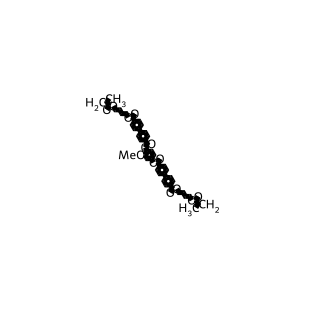 C=C(C)C(=O)OCCCCOC(=O)C1CCC(C2CCC(C(=O)Oc3ccc(OC(=O)C4CCC(C5CCC(C(=O)OCCCCOC(=O)C(=C)C)CC5)CC4)c(OC)c3)CC2)CC1